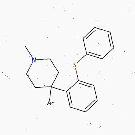 CC(=O)C1(c2ccccc2Sc2ccccc2)CCN(C)CC1